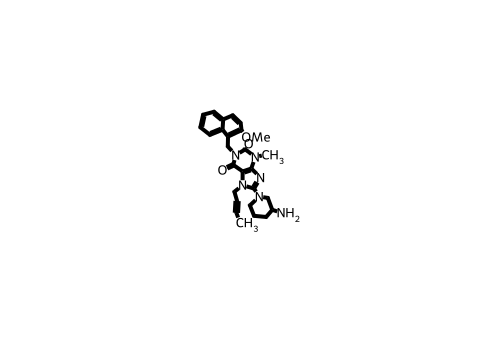 CC#CCn1c(N2CCCC(N)C2)nc2c1c(=O)n(Cc1c(OC)ccc3ccccc13)c(=O)n2C